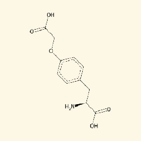 N[C@@H](Cc1ccc(OCC(=O)O)cc1)C(=O)O